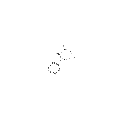 CCC1CN(C)C=C(c2cccc(C(F)(F)F)c2)C1=O